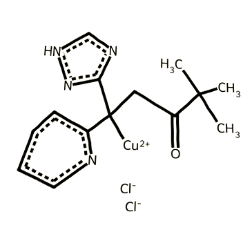 CC(C)(C)C(=O)C[C]([Cu+2])(c1ccccn1)c1nc[nH]n1.[Cl-].[Cl-]